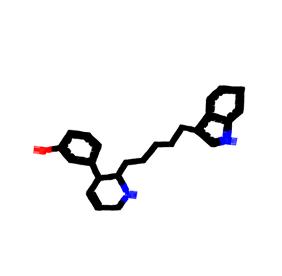 Oc1cccc(C2C=CCNC2CCCCCc2c[nH]c3ccccc23)c1